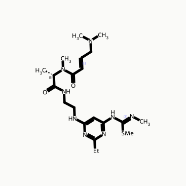 CCc1nc(NCCNC(=O)[C@H](C)N(C)C(=O)/C=C/CN(C)C)cc(N/C(=N/C)SC)n1